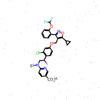 CCN(CC(I)c1ccc(OCc2c(-c3ccccc3OC(F)F)noc2C2CC2)cc1Cl)c1ccc(C(=O)O)cn1